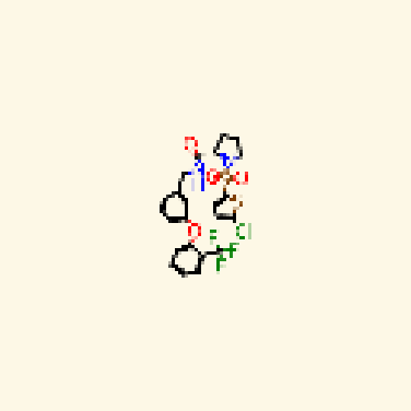 O=C(NCc1cccc(Oc2ccccc2C(F)(F)F)c1)[C@@H]1CCCN1S(=O)(=O)c1ccc(Cl)s1